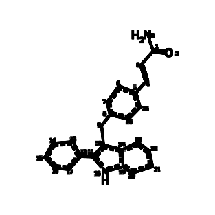 NC(=O)C=Cc1ccc(Cc2c(-c3ccccc3)[nH]c3ccccc23)cc1